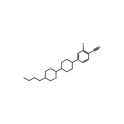 CCCCC1COC(C2CCC(c3ccc(C#N)c(F)c3)CC2)OC1